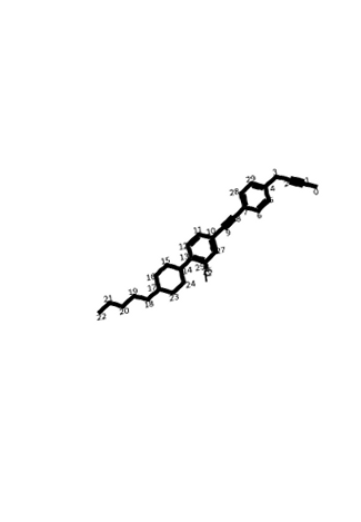 CC#CCc1ccc(C#Cc2ccc(C3CCC(CCCCC)CC3)c(F)c2)cc1